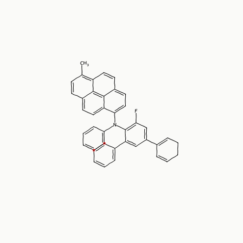 Cc1ccc2ccc3c(N(c4ccccc4)c4c(F)cc(C5=CCCC=C5)cc4-c4ccccc4)ccc4ccc1c2c43